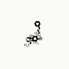 CC[N+]1(CC)CSCC1(O)c1ccc(Cl)c(S(=O)(=O)N=NCc2ccccc2)c1.[Br-]